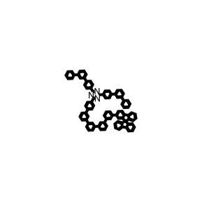 c1ccc(-c2cccc(-c3ccc(-c4nc(-c5ccc(-c6cccc(-c7ccccc7)c6)cc5)nc(-c5ccc(-c6cccc(-c7cccc(-c8cccc(-c9cccc(-c%10ccc%11c(c%10)C%10(c%12ccccc%12-c%12ccccc%12%10)c%10ccccc%10-%11)c9)c8)c7)c6)cc5)n4)cc3)c2)cc1